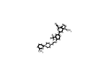 Cc1cccc(N2CCN(CCOc3ccc(-c4cc5c(nnn5C)c(C#N)n4)cc3C(F)(F)F)CC2)n1